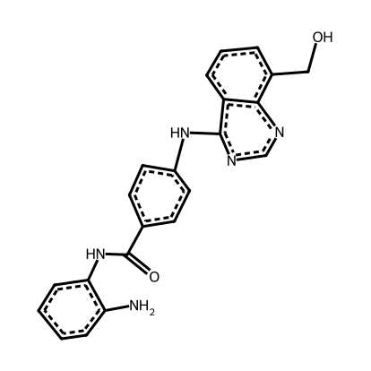 Nc1ccccc1NC(=O)c1ccc(Nc2ncnc3c(CO)cccc23)cc1